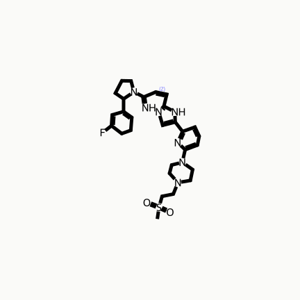 CS(=O)(=O)CCN1CCN(c2cccc(-c3cnc(/C=C\C(=N)N4CCCC4C4=CCCC(F)=C4)[nH]3)n2)CC1